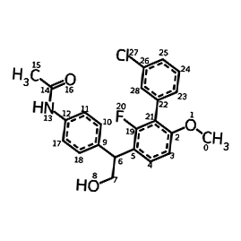 COc1ccc(C(CO)c2ccc(NC(C)=O)cc2)c(F)c1-c1cccc(Cl)c1